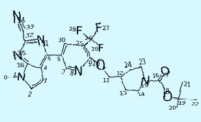 Cn1ccc2c(-c3cnc(OCC4CCN(C(=O)OC(C)(C)C)CC4)c(C(F)(F)F)c3)nc(C#N)nc21